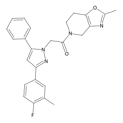 Cc1nc2c(o1)CCN(C(=O)Cn1nc(-c3ccc(F)c(C)c3)cc1-c1ccccc1)C2